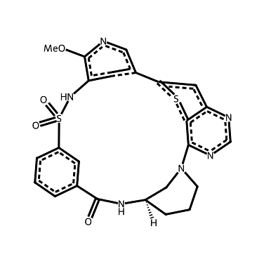 COc1ncc2cc1NS(=O)(=O)c1cccc(c1)C(=O)N[C@@H]1CCCN(C1)c1ncnc3cc-2sc13